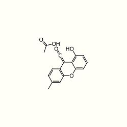 CC(=O)O.Cc1ccc2c(c1)Oc1cccc(O)c1C2=C=O